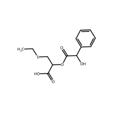 CCSCC(OC(=O)C(O)c1ccccc1)C(=O)O